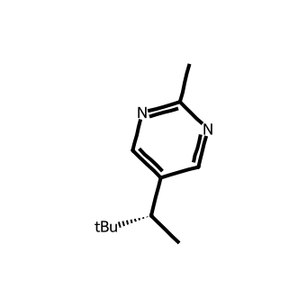 Cc1ncc([C@H](C)C(C)(C)C)cn1